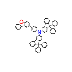 c1ccc(C2(c3ccccc3)c3ccccc3-c3cc(N(c4ccc(-c5ccc6oc7ccccc7c6c5)cc4)c4ccc5c(c4)-c4ccccc4C5(c4ccccc4)c4ccccc4)ccc32)cc1